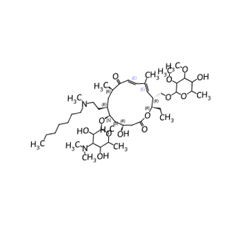 CCCCCCCN(C)CC[C@H]1C[C@@H](C)C(=O)/C=C/C(C)=C/[C@H](COC2OC(C)C(O)C(OC)C2OC)[C@@H](CC)OC(=O)C[C@@H](O)[C@H](C)[C@H]1OC1OC(C)C(O)C(N(C)C)C1O